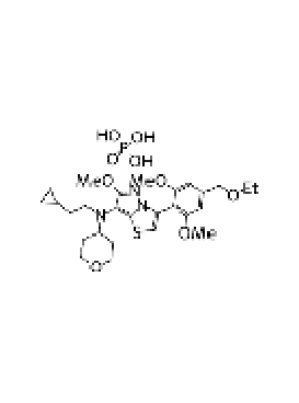 CCOCc1cc(OC)c(-c2csc3c(N(CCC4CC4)C4CCOCC4)c(OC)nn23)c(OC)c1.O=P(O)(O)O